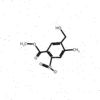 COC(=O)c1cc(CO)c(C)cc1[N+](=O)[O-]